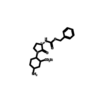 CCOC(=O)C1CC(N)CCC1N1CC[C@H](NC(=O)OCc2ccccc2)C1=O